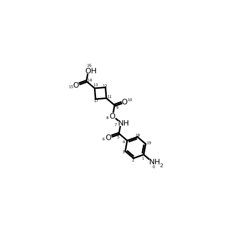 Nc1ccc(C(=O)NOC(=O)C2CC(C(=O)O)C2)cc1